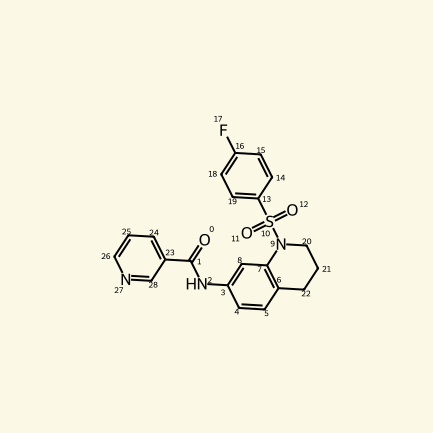 O=C(Nc1ccc2c(c1)N(S(=O)(=O)c1ccc(F)cc1)CCC2)c1cccnc1